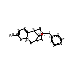 O=C1C2CN(Cc3ccccc3)CC1C1=CC=C(Br)CN1C2